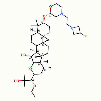 CCO[C@@H](C1C[C@@H](C)[C@H]2C(O1)[C@H](O)[C@@]1(C)C3CC[C@H]4C(C)(C)[C@@H](O[C@H]5CN(CCN6CC(F)C6)CCO5)CC[C@@]45C[C@@]35CC[C@]21C)C(C)(C)O